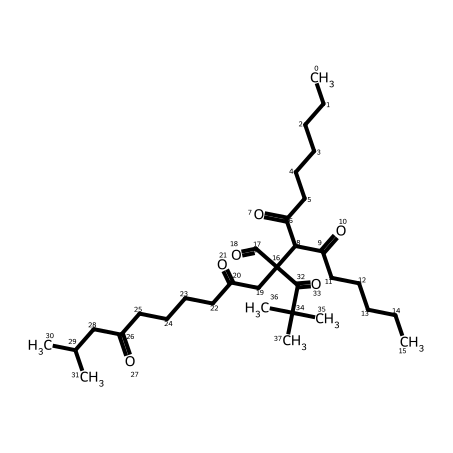 CCCCCCC(=O)C(C(=O)CCCCC)C([C]=O)(CC(=O)CCCCC(=O)CC(C)C)C(=O)C(C)(C)C